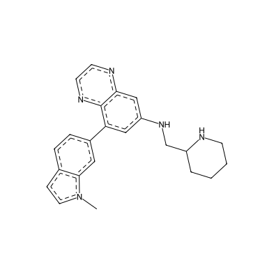 Cn1ccc2ccc(-c3cc(NCC4CCCCN4)cc4nccnc34)cc21